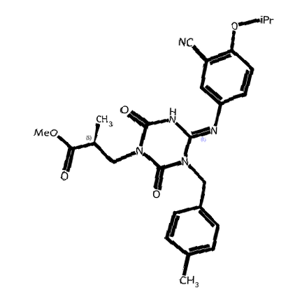 COC(=O)[C@@H](C)Cn1c(=O)[nH]/c(=N\c2ccc(OC(C)C)c(C#N)c2)n(Cc2ccc(C)cc2)c1=O